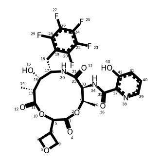 C[C@H]1OC(=O)C(C2COC2)OC(=O)[C@H](C)[C@H](O)[C@H](Cc2c(F)c(F)c(F)c(F)c2F)NC(=O)[C@H]1NC(=O)c1ncccc1O